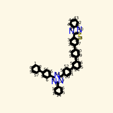 c1ccc(-c2ccc(-c3nc(-c4ccccc4)nc(-c4ccc(-c5cccc(-c6ccc(-c7ccc8c(c7)sc7nc9ccccc9nc78)cc6)c5)cc4)n3)cc2)cc1